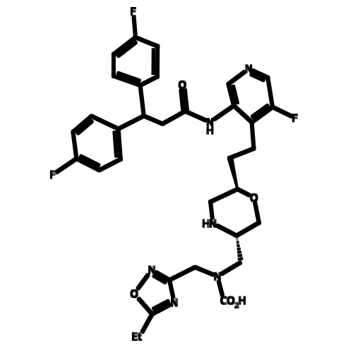 CCc1nc(CN(C[C@H]2CO[C@H](CCc3c(F)cncc3NC(=O)CC(c3ccc(F)cc3)c3ccc(F)cc3)CN2)C(=O)O)no1